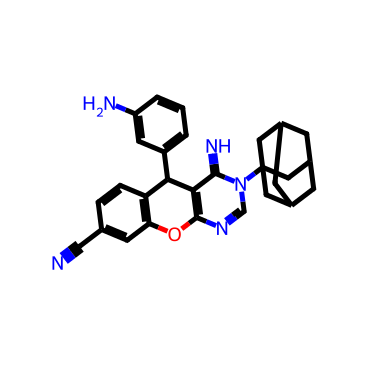 N#Cc1ccc2c(c1)Oc1ncn(C34CC5CC(CC(C5)C3)C4)c(=N)c1C2c1cccc(N)c1